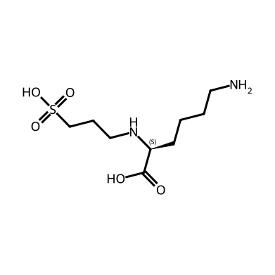 NCCCC[C@H](NCCCS(=O)(=O)O)C(=O)O